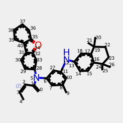 C=C(/C=C\C)N(c1cc(C)cc(Nc2ccc3c(c2)C(C)(C)CCC3(C)C)c1)c1ccc2c(c1)oc1ccccc12